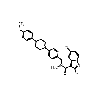 CCc1nn2ccc(Cl)cc2c1C(=O)N(C)Cc1ccc(N2CCC(c3ccc(OC(F)(F)F)cc3)CC2)cc1